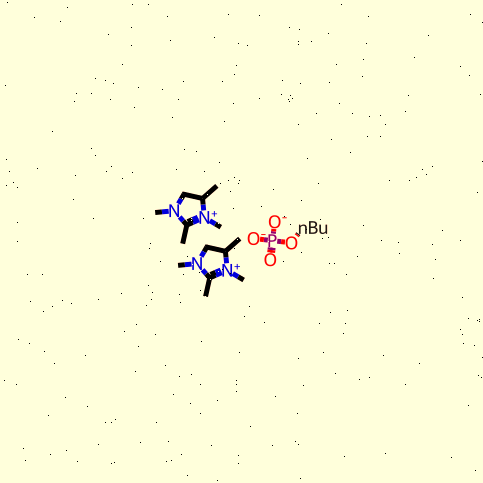 CC1=[N+](C)C(C)CN1C.CC1=[N+](C)C(C)CN1C.CCCCOP(=O)([O-])[O-]